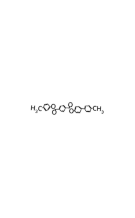 Cc1ccc(OC(=O)c2ccc(C(=O)Oc3ccc(-c4ccc(C)cc4)cc3)cc2)cc1